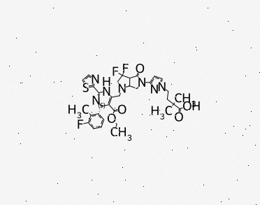 CCOC(=O)C1=C(CN2CC(F)(F)C3C(=O)N(c4ccn(CCC(C)(C)C(=O)O)n4)CC32)NC(c2nccs2)=N[C@H]1c1cccc(F)c1C